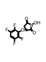 O=C1CCC(=O)N1O.Oc1c(F)c(F)cc(F)c1F